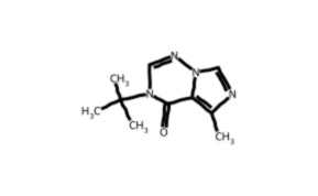 Cc1ncn2ncn(C(C)(C)C)c(=O)c12